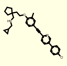 Cc1cc(C#Cc2ccc(-c3ccc(Cl)cc3)cn2)ccc1OCCC1(CNCC2CC2)CCCC1